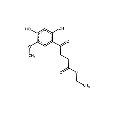 CCOC(=O)CCC(=O)c1cc(OC)c(O)cc1O